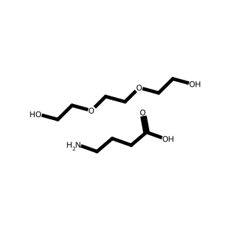 NCCCC(=O)O.OCCOCCOCCO